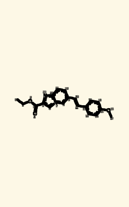 CCOC(=O)c1cn2cc(C=Cc3ccc(OC)cc3)ccc2n1